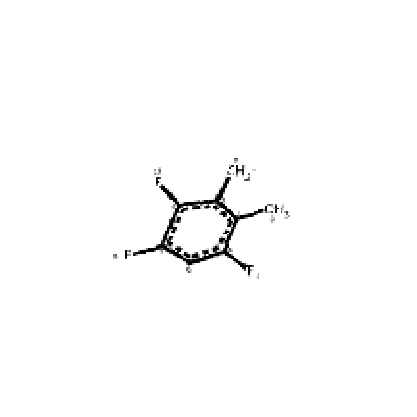 [CH2]c1c(C)c(F)cc(F)c1F